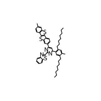 CCCCCCCCc1cc(-c2cc(-c3ccc4c(c3)sc3c5ccc(C)cc5sc43)nc(-c3nc4ccccc4s3)n2)c(CCCCCCCC)cc1C